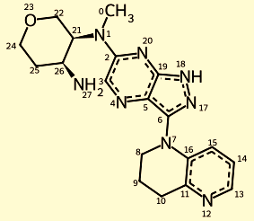 CN(c1cnc2c(N3CCCc4ncccc43)n[nH]c2n1)[C@@H]1COCC[C@@H]1N